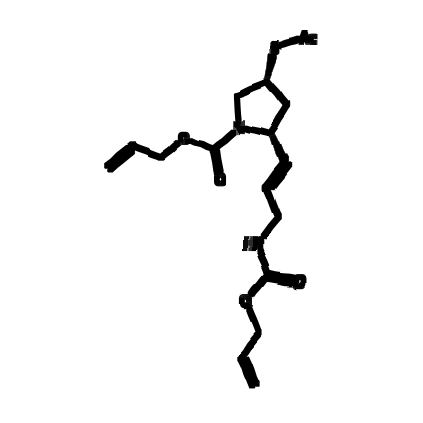 C=CCOC(=O)NCC=C[C@@H]1C[C@H](SC(C)=O)CN1C(=O)OCC=C